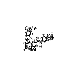 COc1ccc(Cn2ncc(F)c2-c2cc(C(=O)Nc3ccc(OC(F)(F)Cl)cc3)cc3ncn(C4CC4)c23)cc1